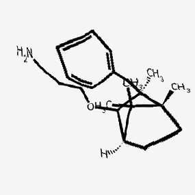 CC1(C)[C@H]2CC[C@@]1(C)[C@](C)(c1ccccc1)C2OCCN